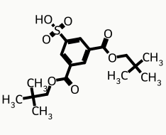 CC(C)(C)COC(=O)c1cc(C(=O)OCC(C)(C)C)cc(S(=O)(=O)O)c1